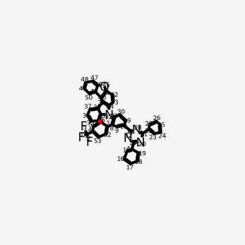 FC(F)(F)c1ccc(-c2cc(-c3nc(-c4ccccc4)nc(-c4ccccc4)n3)ccc2-n2c3ccccc3c3c4c(ccc32)oc2ccccc24)cc1